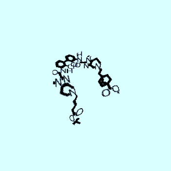 COC(=O)C12CCC(CCN3CCc4c(nc(C(=O)Nc5cccc(-c6cccc(NC(=O)c7nc8c(n7C)CCN(CCCCC(=O)OC(C)(C)C)C8)c6Cl)c5Cl)n4C)C3)(CC1)C2